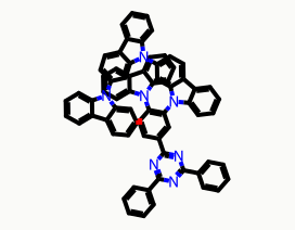 c1ccc(-c2nc(-c3ccccc3)nc(-c3ccc(-n4c5ccccc5c5ccccc54)c(-n4c5ccccc5c5ccc(-n6c7ccccc7c7ccc(-n8c9ccccc9c9ccccc98)cc76)cc54)c3)n2)cc1